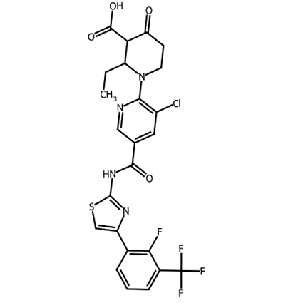 CCC1C(C(=O)O)C(=O)CCN1c1ncc(C(=O)Nc2nc(-c3cccc(C(F)(F)F)c3F)cs2)cc1Cl